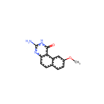 COc1ccc2ccc3nc(N)[nH]c(=O)c3c2c1